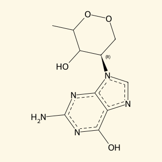 CC1OOC[C@@H](n2cnc3c(O)nc(N)nc32)C1O